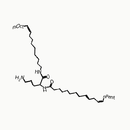 CCCCC/C=C\CC=CCCCCCCCC(=O)NC(CCCN)C(=O)NCCCCCCCC/C=C\CCCCCCCC